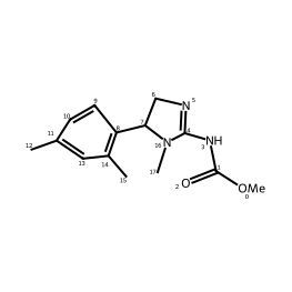 COC(=O)NC1=NCC(c2ccc(C)cc2C)N1C